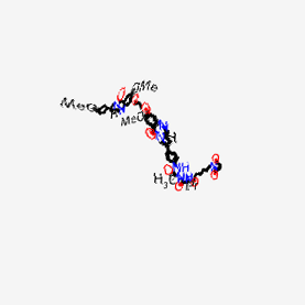 COc1ccc(C2=CN3C(=O)c4cc(OC)c(OCCCOc5cc6c(cc5OC)C(=O)N5C=C(c7ccc(NC(=O)[C@@H](C)NC(=O)[C@H](NC(=O)CCCCCN8C(=O)C=CC8=O)C(C)C)cc7)C[C@H]5C=N6)cc4N=C[C@@H]3C2)cc1